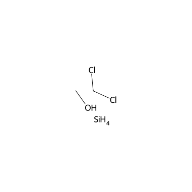 CO.ClCCl.[SiH4]